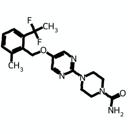 Cc1cccc(C(C)(F)F)c1COc1cnc(N2CCN(C(N)=O)CC2)nc1